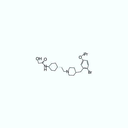 CC(C)Oc1ccc(Br)c(CC2CCN(CC[C@H]3CC[C@H](NC(=O)CO)CC3)CC2)c1